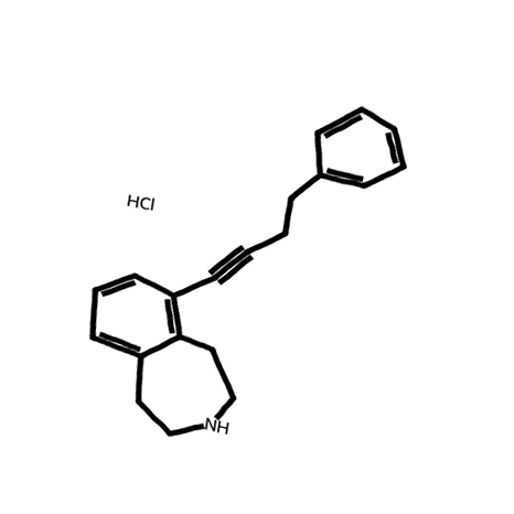 C(#Cc1cccc2c1CCNCC2)CCc1ccccc1.Cl